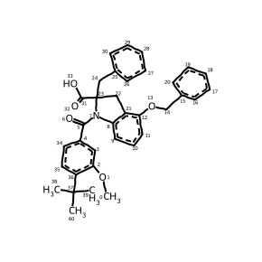 COc1cc(C(=O)N2c3cccc(OCc4ccccc4)c3CC2(Cc2ccccc2)C(=O)O)ccc1C(C)(C)C